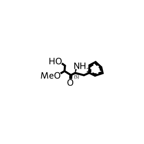 COC(CO)C(=O)[C@@H](N)Cc1ccccc1